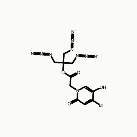 [N-]=[N+]=NCC(CN=[N+]=[N-])(CN=[N+]=[N-])OC(=O)Cn1cc(O)c(Br)cc1=O